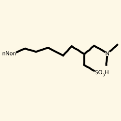 CCCCCCCCCCCCCCC(CN(C)C)CS(=O)(=O)O